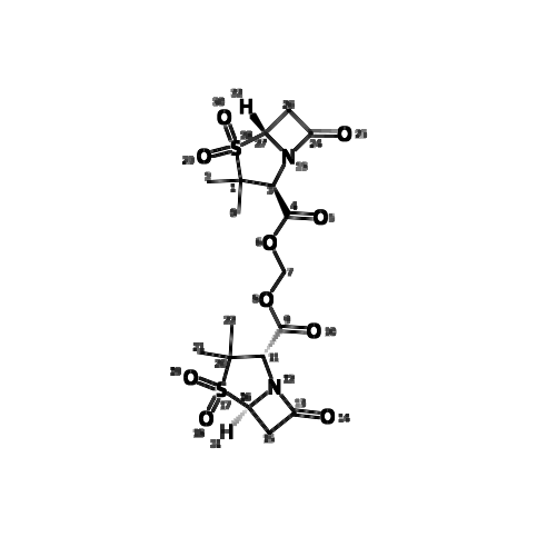 CC1(C)[C@H](C(=O)OCOC(=O)[C@@H]2N3C(=O)C[C@H]3S(=O)(=O)C2(C)C)N2C(=O)C[C@H]2S1(=O)=O